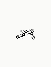 COc1c(F)cc(N2CCOCC2)cc1C(=O)Nc1cnc(C)c(-c2ccc(C(=O)NCC3CCCO3)cc2)c1